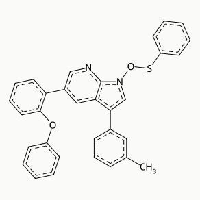 Cc1cccc(-c2cn(OSc3ccccc3)c3ncc(-c4ccccc4Oc4ccccc4)cc23)c1